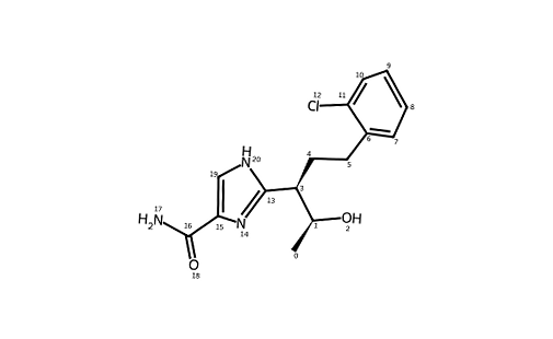 C[C@H](O)[C@H](CCc1ccccc1Cl)c1nc(C(N)=O)c[nH]1